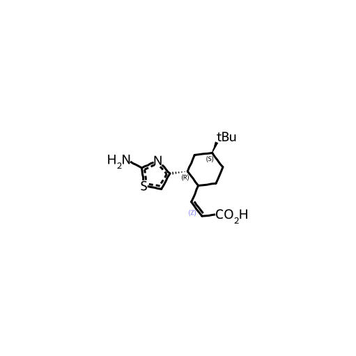 CC(C)(C)[C@H]1CCC(/C=C\C(=O)O)[C@H](c2csc(N)n2)C1